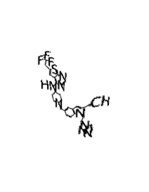 C#Cc1cc2cc(CN3CCC(Nc4ncnc5sc(CC(F)(F)F)cc45)CC3)ccc2n1CCn1ccnn1